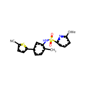 COc1cccc(S(=O)(=O)Nc2cc(-c3ccc(C#N)s3)ccc2C)n1